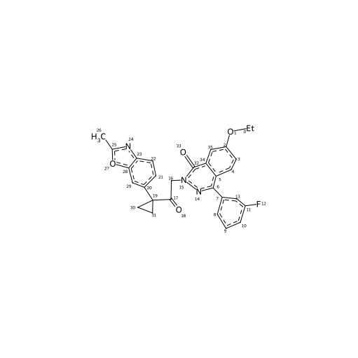 CCOc1ccc2c(-c3cccc(F)c3)nn(CC(=O)C3(c4ccc5nc(C)oc5c4)CC3)c(=O)c2c1